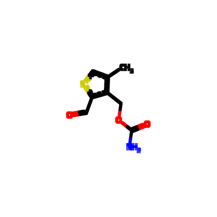 Cc1csc(C=O)c1COC(N)=O